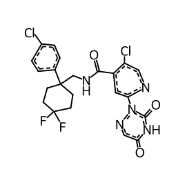 O=C(NCC1(c2ccc(Cl)cc2)CCC(F)(F)CC1)c1cc(-n2ncc(=O)[nH]c2=O)ncc1Cl